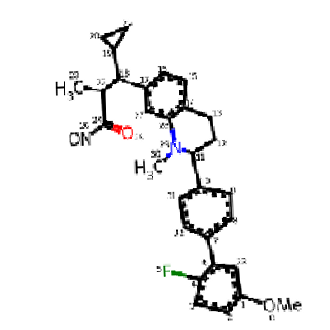 COc1ccc(F)c(-c2ccc(C3CCc4ccc([C@H](C5CC5)[C@H](C)C(=O)N=O)cc4N3C)cc2)c1